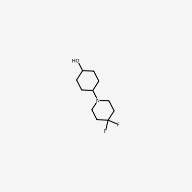 OC1CCC(N2CCC(F)(F)CC2)CC1